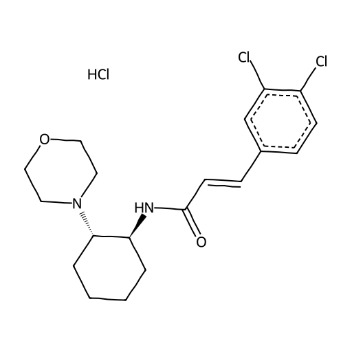 Cl.O=C(C=Cc1ccc(Cl)c(Cl)c1)N[C@H]1CCCC[C@@H]1N1CCOCC1